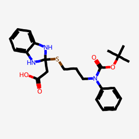 CC(C)(C)OC(=O)N(CCCSC1(CC(=O)O)Nc2ccccc2N1)c1ccccc1